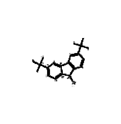 CC(C)(C)c1ccc2c(c1)-c1cc(C(C)(C)C)ccc1[CH]2[Zr]